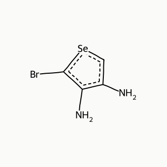 Nc1c[se]c(Br)c1N